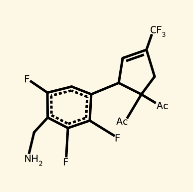 CC(=O)C1(C(C)=O)CC(C(F)(F)F)=CC1c1cc(F)c(CN)c(F)c1F